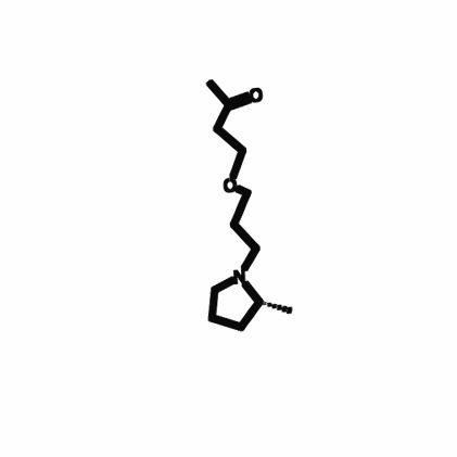 CC(=O)CCOCCCN1CCC[C@H]1C